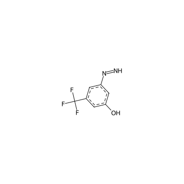 N=Nc1cc(O)cc(C(F)(F)F)c1